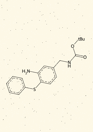 CC(C)(C)OC(=O)NCc1ccc(Sc2ccccc2)c(N)c1